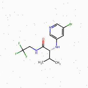 CC(C)[C@@H](Nc1cncc(Br)c1)C(=O)NCC(F)(F)F